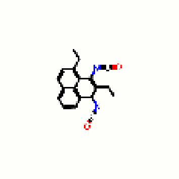 CCC1=C(N=C=O)c2c(CC)ccc3cccc(c23)C1N=C=O